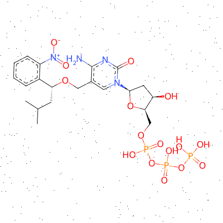 CC(C)C[C@@H](OCc1cn([C@H]2C[C@@H](O)[C@@H](COP(=O)(O)OP(=O)(O)OP(=O)(O)O)O2)c(=O)nc1N)c1ccccc1[N+](=O)[O-]